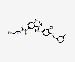 O=C(/C=C/CBr)Nc1ccc2ncnc(Nc3ccc(OCc4cccc(F)c4)c(Cl)c3)c2c1